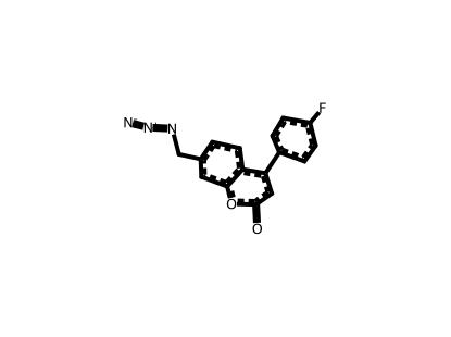 [N-]=[N+]=NCc1ccc2c(-c3ccc(F)cc3)cc(=O)oc2c1